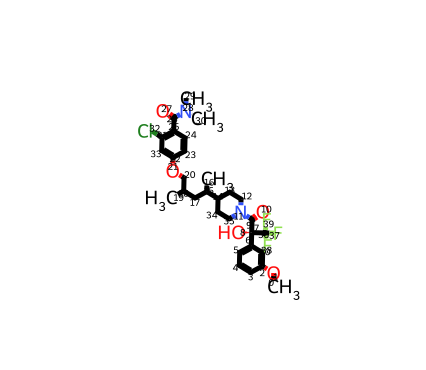 COc1cccc([C@@](O)(C(=O)N2CCC(C(C)CC(C)COc3ccc(C(=O)N(C)C)c(Cl)c3)CC2)C(F)(F)F)c1